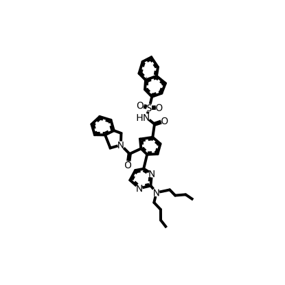 CCCCN(CCCC)c1nccc(-c2ccc(C(=O)NS(=O)(=O)c3ccc4ccccc4c3)cc2C(=O)N2Cc3ccccc3C2)n1